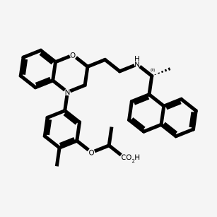 Cc1ccc(N2CC(CCN[C@H](C)c3cccc4ccccc34)Oc3ccccc32)cc1OC(C)C(=O)O